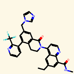 CCc1cc(C(=O)NC)c2nccc(N3CCc4c(cc(Cn5ccnc5)cc4-c4cccnc4C(F)(F)F)C3=O)c2c1